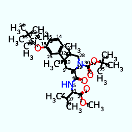 COC(=O)C(NC(=O)[C@H]1C[C@@](C)(c2cccc(O[Si](C)(C)C(C)(C)C)c2)[C@@H](C)CN1C(=O)OC(C)(C)C)C(C)C